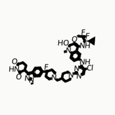 CN1c2ccc(Nc3nc(N4CCC(CN5CCC(F)(c6ccc7c(C8CCC(=O)NC8=O)nn(C)c7c6)CC5)CC4)ncc3Cl)cc2C2=C(OCC(F)(F)[C@H](C3CC3)N2)C1O